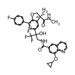 CNC(=O)[C@@]1(C)COc2c1cc(C(O)(CNC(=O)c1cc(OC3CC3)c3ncccc3c1)C(F)(F)F)nc2-c1ccc(F)cc1